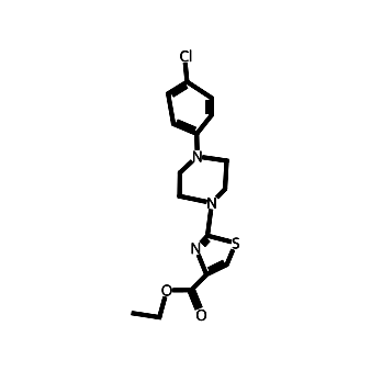 CCOC(=O)c1csc(N2CCN(c3ccc(Cl)cc3)CC2)n1